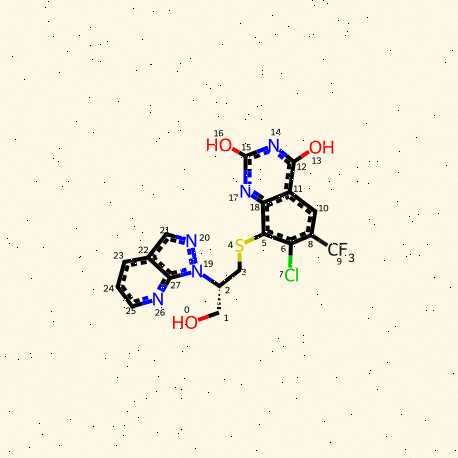 OC[C@@H](CSc1c(Cl)c(C(F)(F)F)cc2c(O)nc(O)nc12)n1ncc2cccnc21